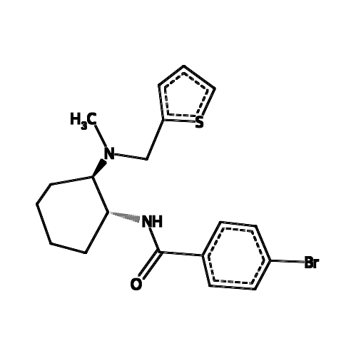 CN(Cc1cccs1)[C@@H]1CCCC[C@H]1NC(=O)c1ccc(Br)cc1